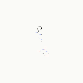 O=C1CC2COCCN2C(=O)N1CCCCN1CCN(c2nsc3ccccc23)CC1